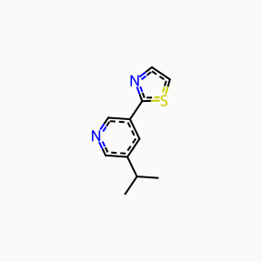 CC(C)c1cncc(-c2nccs2)c1